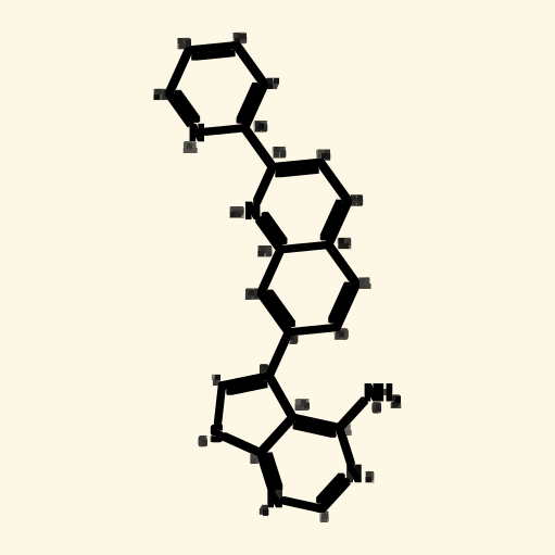 Nc1ncnc2scc(-c3ccc4ccc(-c5ccccn5)nc4c3)c12